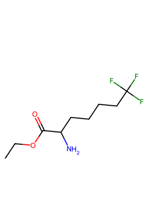 CCOC(=O)C(N)CCCCC(F)(F)F